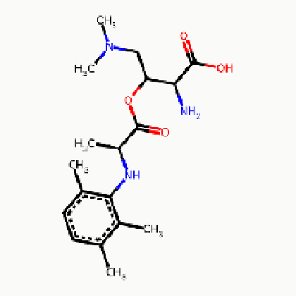 Cc1ccc(C)c(N[C@@H](C)C(=O)OC(CN(C)C)C(N)C(=O)O)c1C